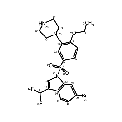 CCOc1ccc(S(=O)(=O)n2cc(C(F)F)c3ccc(Br)cc32)cc1N1CCNCC1